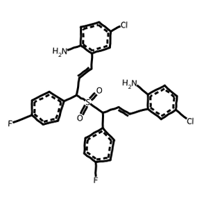 Nc1ccc(Cl)cc1C=CC(c1ccc(F)cc1)S(=O)(=O)C(C=Cc1cc(Cl)ccc1N)c1ccc(F)cc1